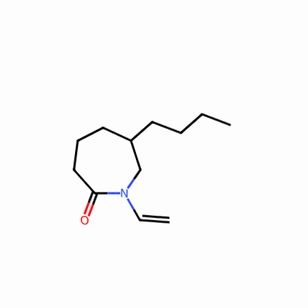 C=CN1CC(CCCC)CCCC1=O